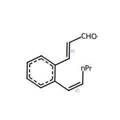 CCC/C=C\c1ccccc1/C=C/[C]=O